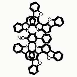 N#Cc1c(-n2c3ccccc3c3ccccc32)c(-n2c3ccc4c5ccccc5oc4c3c3c4oc5ccccc5c4ccc32)c(-c2ccccc2)c(-n2c3ccc4c5ccccc5oc4c3c3c4oc5ccccc5c4ccc32)c1-n1c2ccccc2c2ccccc21